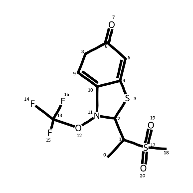 CC(C1SC2=CC(=O)CC=C2N1OC(F)(F)F)S(C)(=O)=O